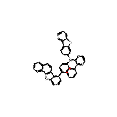 c1ccc(-c2ccccc2N(c2ccc(-c3cccc4sc5c6ccccc6ccc5c34)cc2)c2ccc3c(c2)sc2ccccc23)cc1